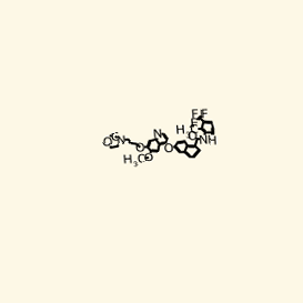 COc1cc2c(Oc3ccc4c(C(=O)Nc5cccc(C(F)(F)F)c5C)cccc4c3)ccnc2cc1OCCCN1CCOCC1